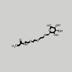 C=CC(=O)NCCOCCOCCOC[C@H]1O[C@H](O)[C@H](O)[C@@H](O)[C@H]1O